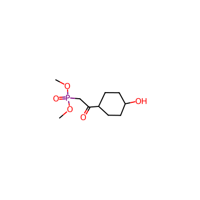 COP(=O)(CC(=O)C1CCC(O)CC1)OC